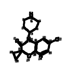 O=C1N(C2CCNCC2)c2cc(Cl)cnc2OC12CC2